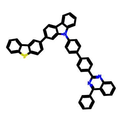 c1ccc(-c2nc(-c3ccc(-c4ccc(-n5c6ccccc6c6ccc(-c7ccc8sc9ccccc9c8c7)cc65)cc4)cc3)nc3ccccc23)cc1